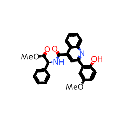 COC(=O)[C@H](NC(=O)c1cc(-c2cc(OC)ccc2O)nc2ccccc12)c1ccccc1